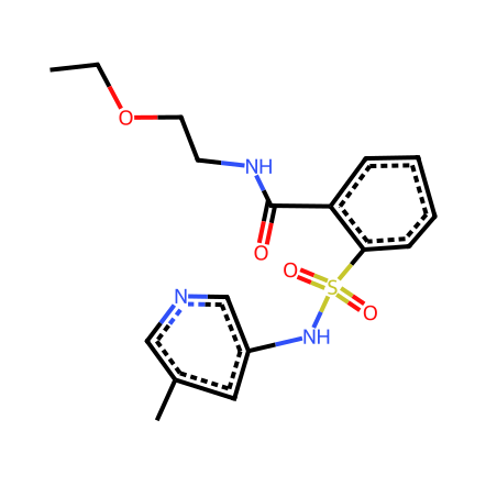 CCOCCNC(=O)c1ccccc1S(=O)(=O)Nc1cncc(C)c1